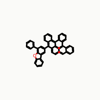 c1ccc(-c2cc(-c3c4ccccc4c(-c4ccccc4-c4cccc5ccccc45)c4ccccc34)cc3c2oc2ccccc23)cc1